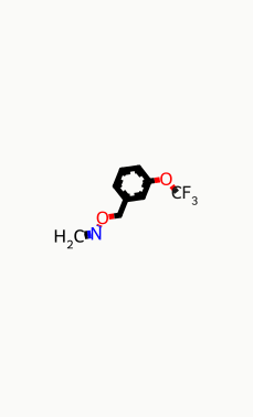 C=NOCc1cccc(OC(F)(F)F)c1